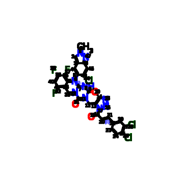 Cn1cc2cc(/N=c3\[nH]c(=O)n(Cc4cnnn4C(=O)/C=C/c4ccc(Cl)c(Cl)c4)c(=O)n3Cc3cc(F)c(F)cc3F)c(Cl)cc2n1